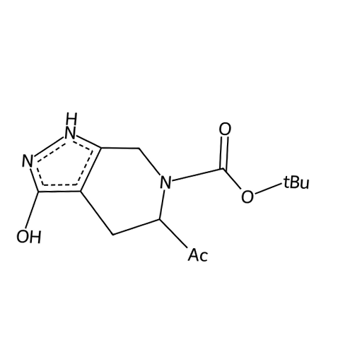 CC(=O)C1Cc2c(O)n[nH]c2CN1C(=O)OC(C)(C)C